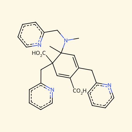 CN(Cc1ccccn1)C1(C)C=C(Cc2ccccn2)C(C(=O)O)=CC1(Cc1ccccn1)C(=O)O